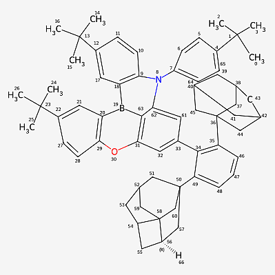 CC(C)(C)c1ccc(N2c3ccc(C(C)(C)C)cc3B3c4cc(C(C)(C)C)ccc4Oc4cc(-c5c(C67CC8CC(CC(C8)C6)C7)cccc5C56CC7CC8C[C@H](C5)C8(C7)C6)cc2c43)cc1